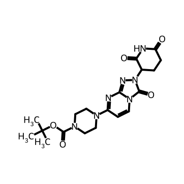 CC(C)(C)OC(=O)N1CCN(c2ccn3c(=O)n(C4CCC(=O)NC4=O)nc3n2)CC1